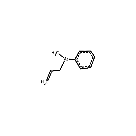 C=CC[As](C)c1ccccc1